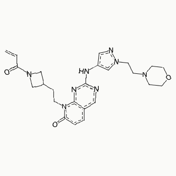 C=CC(=O)N1CC(CCn2c(=O)ccc3cnc(Nc4cnn(CCN5CCOCC5)c4)nc32)C1